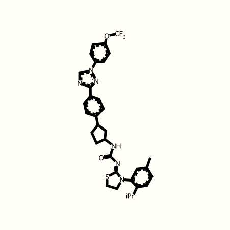 Cc1ccc(C(C)C)c(N2CCS/C2=N\C(=O)NC2CCC(c3ccc(-c4ncn(-c5ccc(OC(F)(F)F)cc5)n4)cc3)C2)c1